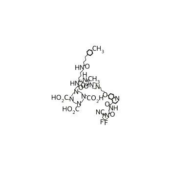 Cc1ccc(CCCC(=O)NCCCC[C@H](NC(=O)CN2CCN(CC(=O)O)CCN(CC(=O)O)CCN(CC(=O)O)CC2)C(=O)N[C@@H](C)C(=O)N2CCN(CCCOc3ccc4nccc(C(=O)NCC(=O)N5CC(F)(F)C[C@@H]5C#N)c4c3)CC2)cc1